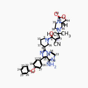 CC(C)(/C=C(/C#N)C(=O)N1CCC[C@@H](c2nc(-c3ccc(Oc4ccccc4)cc3)c3c(N)nccn23)C1)N1CCN2C(=O)OC[C@@H]2C1